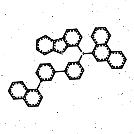 c1cc(-c2cccc(N(c3cc4ccccc4c4ccccc34)c3cccc4c3sc3ccccc34)c2)cc(-c2cccc3ccccc23)c1